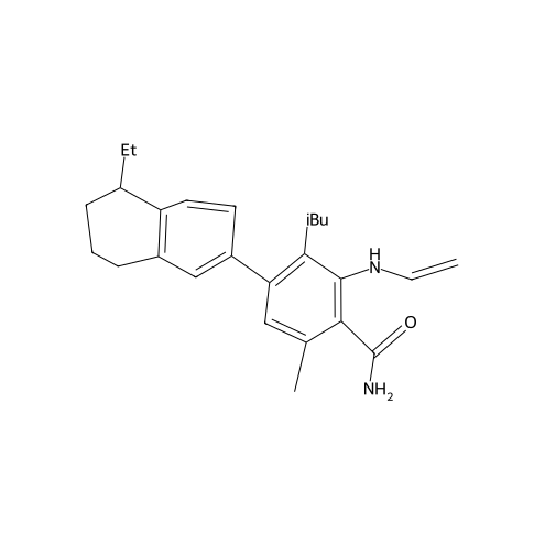 C=CNc1c(C(N)=O)c(C)cc(-c2ccc3c(c2)CCCC3CC)c1C(C)CC